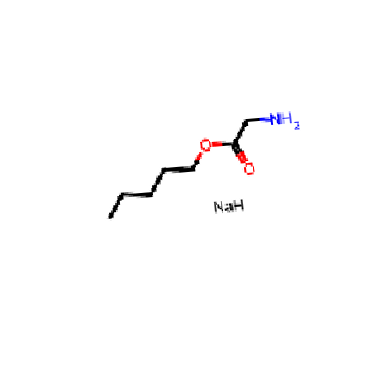 CCCCCOC(=O)CN.[NaH]